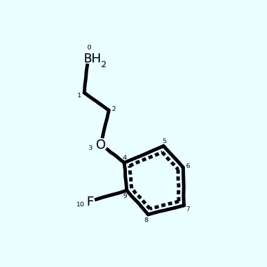 BCCOc1ccccc1F